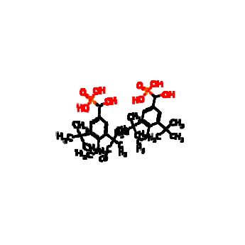 CCc1c(C(C)(C)C)cc(C(O)P(=O)(O)O)cc1C(C)(C)C.CCc1c(C(C)(C)C)cc(C(O)P(=O)(O)O)cc1C(C)(C)C.[Ca]